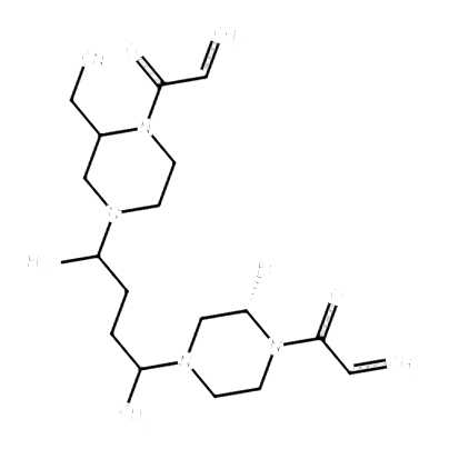 C=CC(=O)N1CCN(C(C)CCC(C)N2CCN(C(=O)C=C)[C@@H](CC)C2)CC1CC#N